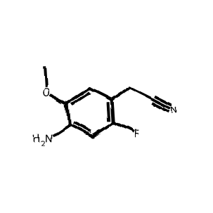 COc1cc(CC#N)c(F)cc1N